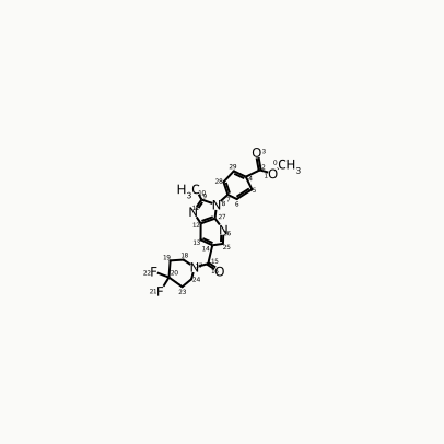 COC(=O)c1ccc(-n2c(C)nc3cc(C(=O)N4CCC(F)(F)CC4)cnc32)cc1